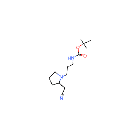 CC(C)(C)OC(=O)NCCCN1CCCC1CC#N